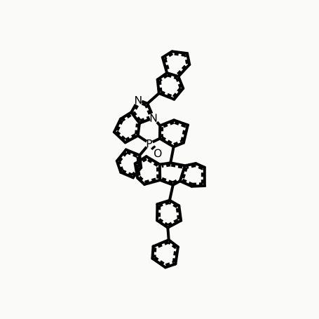 O=P1(c2ccccc2)c2c(-c3c4ccccc4c(-c4ccc(-c5ccccc5)cc4)c4ccccc34)cccc2-n2c(-c3ccc4ccccc4c3)nc3cccc1c32